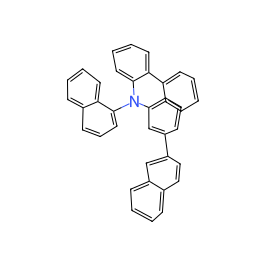 c1ccc(-c2ccccc2N(c2cccc(-c3ccc4ccccc4c3)c2)c2cccc3ccccc23)cc1